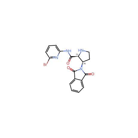 O=C(Nc1cccc(Br)n1)[C@H]1NCC[C@H]1N1C(=O)c2ccccc2C1=O